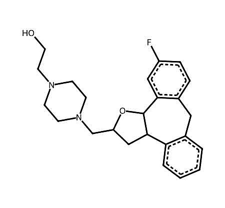 OCCN1CCN(CC2CC3c4ccccc4Cc4ccc(F)cc4C3O2)CC1